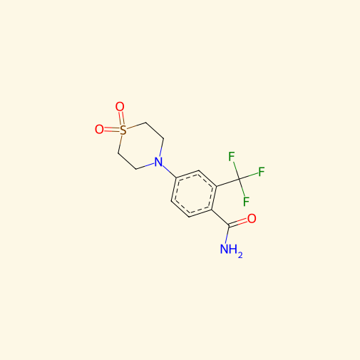 NC(=O)c1ccc(N2CCS(=O)(=O)CC2)cc1C(F)(F)F